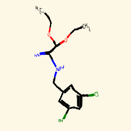 CCOC(OCC)C(=N)NCc1cc(Cl)cc(Br)c1